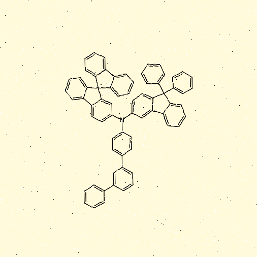 c1ccc(-c2cccc(-c3ccc(N(c4ccc5c(c4)-c4ccccc4C5(c4ccccc4)c4ccccc4)c4ccc5c(c4)C4(c6ccccc6-c6ccccc64)c4ccccc4-5)cc3)c2)cc1